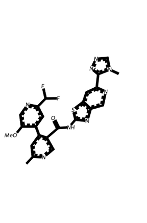 COc1cnc(C(F)F)cc1-c1cc(C)ncc1C(=O)Nc1nc2cnc(-c3nncn3C)cc2s1